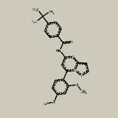 COc1ccc(-c2cc(NC(=O)c3ccc(C(C)(C)C)cc3)nc3ccnn23)c(OC)c1